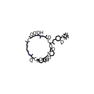 COC1CC(CC(C)[C@@H]2CC(=O)C(C)/C=C(\C)[C@@H](O)C(OC)C(=O)C(C)C[C@H](C)/C=C/C=C/C=C(\C)[C@@H](OC)C[C@@H]3CCC(C)C(O)(O3)C(=O)C(=O)N3CCCCC3C(=O)O2)CCC1n1cnnn1